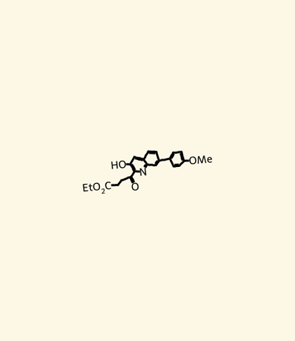 CCOC(=O)CCC(=O)c1nc2cc(-c3ccc(OC)cc3)ccc2cc1O